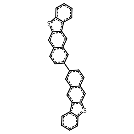 c1ccc2c(c1)sc1cc3ccc(-c4ccc5cc6sc7ccccc7c6cc5c4)cc3cc12